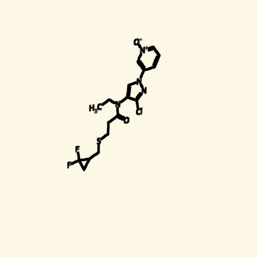 CCN(C(=O)CCSCC1CC1(F)F)c1cn(-c2ccc[n+]([O-])c2)nc1Cl